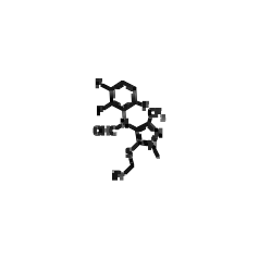 CC(C)CSc1c(N(C=O)c2c(F)ccc(F)c2F)c(C(F)(F)F)nn1C